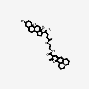 CC(CCC(=O)NCCNC(=O)c1cc2cc3c4c(c2oc1=O)CCCN4CCC3)C1CCC2C3CC=C4CC(O)CCC4(C)C3CCC12C